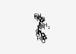 COc1ccc2nccc(C[C@H](N)CNCC3CN(c4ccc5c(c4)NC(=O)CS5)C(=O)O3)c2n1